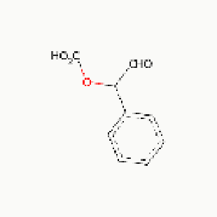 O=CC(OC(=O)O)c1ccccc1